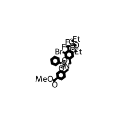 CCOP(=O)(OCC)C(F)(F)c1ccc(CN(Cc2ccc(C(=O)OC)cc2)S(=O)(=O)c2ccccc2)cc1Br